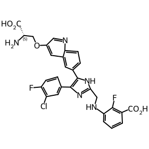 N[C@@H](COc1cnc2ccc(-c3[nH]c(CNc4cccc(C(=O)O)c4F)nc3-c3ccc(F)c(Cl)c3)cc2c1)C(=O)O